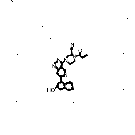 C=CC(=O)N1CCN(c2ncnc3cc(-c4cc(O)cc5ccccc45)ncc23)CC1C#N